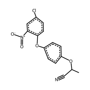 CC(C#N)Oc1ccc(Oc2ccc(Cl)cc2[N+](=O)[O-])cc1